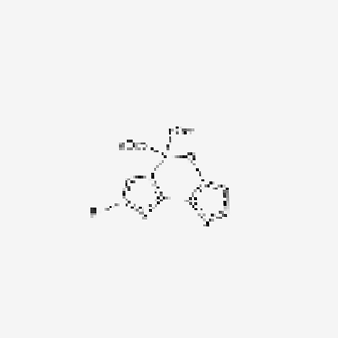 CCCCCCCCC1(CCCCCCCC)Oc2ccsc2-c2sc(Br)cc21